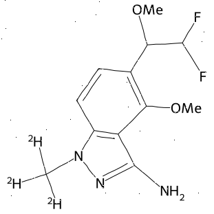 [2H]C([2H])([2H])n1nc(N)c2c(OC)c(C(OC)C(F)F)ccc21